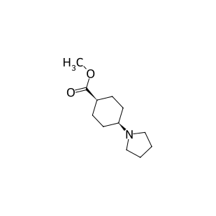 COC(=O)[C@H]1CC[C@@H](N2CCCC2)CC1